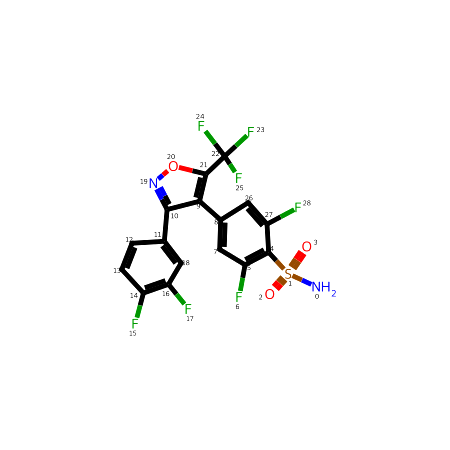 NS(=O)(=O)c1c(F)cc(-c2c(-c3ccc(F)c(F)c3)noc2C(F)(F)F)cc1F